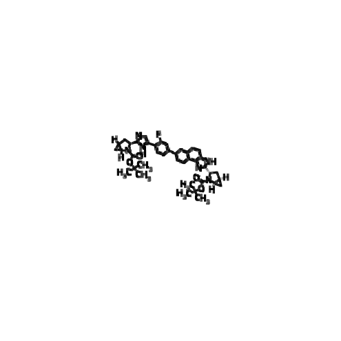 CC(C)(C)OC(=O)N1[C@@H]2C[C@@H]2C[C@H]1c1ncc(-c2ccc(-c3ccc4c(ccc5[nH]c([C@@H]6C[C@H]7C[C@H]7N6C(=O)OC(C)(C)C)nc54)c3)cc2F)[nH]1